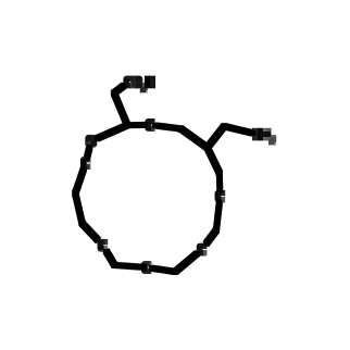 NCC1CCCCCCCCCCCOC(CC(=O)O)CC1